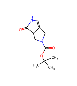 CC(C)(C)OC(=O)N1CC2=CNC(=O)C2C1